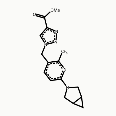 COC(=O)c1cn(Cc2ccc(N3CC4CC4C3)nc2C(F)(F)F)nn1